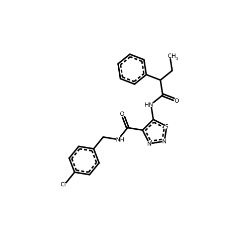 CCC(C(=O)Nc1snnc1C(=O)NCc1ccc(Cl)cc1)c1ccccc1